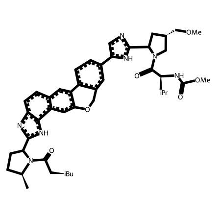 CC[C@H](C)CC(=O)N1C(c2nc3ccc4cc5c(cc4c3[nH]2)OCc2cc(-c3cnc(C4C[C@H](COC)CN4C(=O)[C@@H](NC(=O)OC)C(C)C)[nH]3)ccc2-5)CC[C@@H]1C